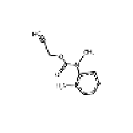 C#CCOC(=O)N(C)c1ccccc1N